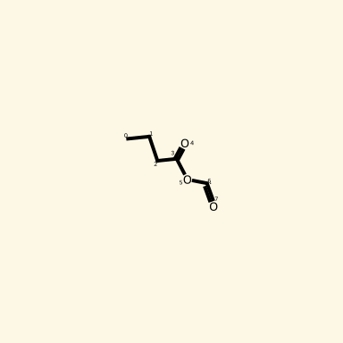 CCCC(=O)O[C]=O